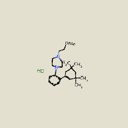 COCCN1CCN(c2ccccc2C2=CC(C)(C)CC(C)(C)C2)CC1.Cl